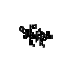 CC1(CNC(=O)C(N)Cc2ccccc2)CCN(c2c(F)c(N)c3c(=O)c(C(=O)O)cn(C4CC4)c3c2F)C1.Cl